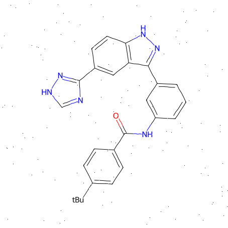 CC(C)(C)c1ccc(C(=O)Nc2cccc(-c3n[nH]c4ccc(-c5nc[nH]n5)cc34)c2)cc1